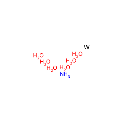 N.O.O.O.O.O.O.[W]